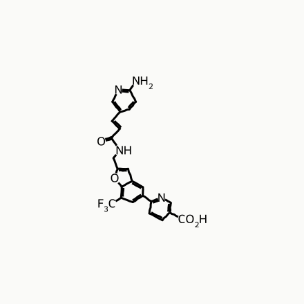 Nc1ccc(C=CC(=O)NCc2cc3cc(-c4ccc(C(=O)O)cn4)cc(C(F)(F)F)c3o2)cn1